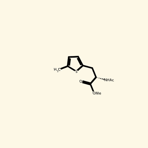 COC(=O)[C@H](Cc1ccc(C)s1)NC(C)=O